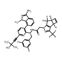 Cn1nc(N)c2cccc(-c3ccc(C#CC(C)(C)O)nc3[C@H](Cc3cc(F)cc(F)c3)NC(=O)Cn3nc(C(F)(F)F)c4c3C(F)(F)[C@@H]3C=C[C@H]43)c21